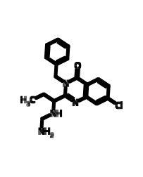 CCC(NCN)c1nc2cc(Cl)ccc2c(=O)n1Cc1ccccc1